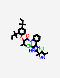 CCC(C)(C)c1ccc(OC(C(=O)Nc2ccccc2-c2nc(C3(C)N=NC(C)=C3Cl)[nH]c2Cl)C(C)C)c(C(C)(C)CC)c1